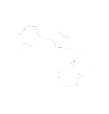 CN([C@@H]1COCC[C@H]1O)n1cc(-c2cccc(F)c2)nn1